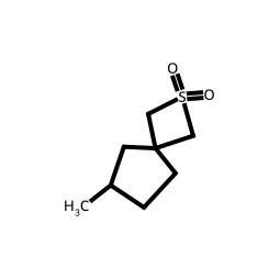 CC1CCC2(C1)CS(=O)(=O)C2